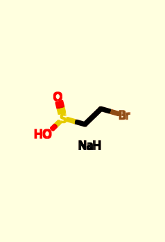 O=S(O)CCBr.[NaH]